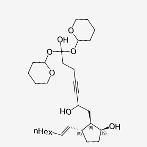 CCCCCCC=C[C@H]1CC[C@H](O)[C@@H]1CC(O)C#CCCC(O)(OC1CCCCO1)OC1CCCCO1